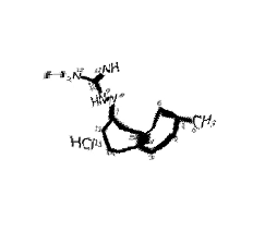 Cc1ccc2c(c1)C(=NNC(=N)N)CC2.Cl